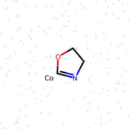 C1=NCCO1.[Co]